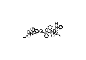 C=CCOC(=O)Nc1nccc2cc(OCCC3CCCCN3C(=O)[C@@](C)(C3CCCCC3)N(CC(=O)Nc3ccccc3)C(=O)OCC=C)ccc12